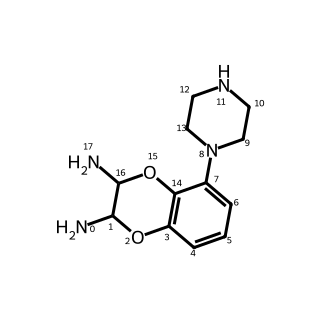 NC1Oc2cccc(N3CCNCC3)c2OC1N